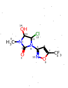 CN1C(=O)N(c2cc(C(F)(F)F)on2)C(Cl)C1O